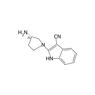 N#Cc1c(N2CC[C@H](N)C2)[nH]c2ccccc12